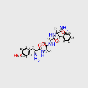 C[C@@H](NC(=O)[C@@H](N)Cc1ccc(O)cc1)C(=O)NCC(=O)N[C@@](C)(Cc1ccccc1)C(N)=O